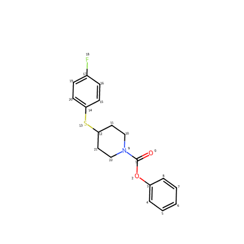 O=C(Oc1ccccc1)N1CCC(Sc2ccc(F)cc2)CC1